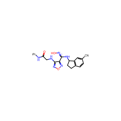 CC(C)NC(=O)CNc1nonc1/C(=N\O)NC1CCc2ccc(C#N)cc21